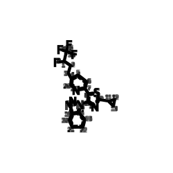 FC(CCc1ccc(-c2sc(C3CC3)nc2-n2nnc3ccccc32)nc1)C(F)(F)F